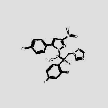 C[C@@H](n1nc([N+](=O)[O-])cc1-c1ccc(Cl)cc1)[C@](O)(Cn1cncn1)c1ccc(F)cc1F